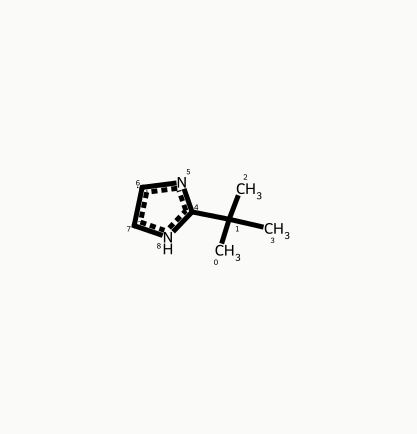 CC(C)(C)c1n[c]c[nH]1